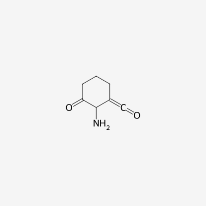 NC1C(=O)CCCC1=C=O